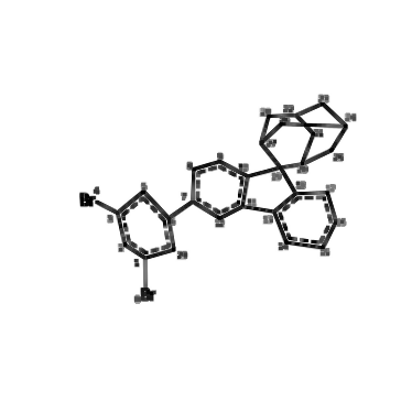 Brc1cc(Br)cc(-c2ccc3c(c2)-c2ccccc2C32C3CC4CC(C3)CC2C4)c1